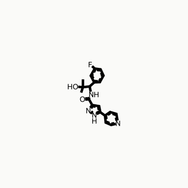 CC(C)(O)C(NC(=O)c1cc(-c2ccncc2)[nH]n1)c1cccc(F)c1